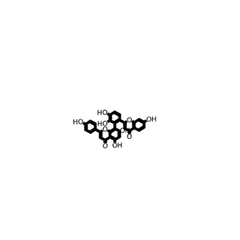 O=c1cc(-c2ccc(O)c(O)c2-c2c(O)cc(O)c3c(=O)cc(-c4ccc(O)cc4)oc23)oc2cc(O)ccc12